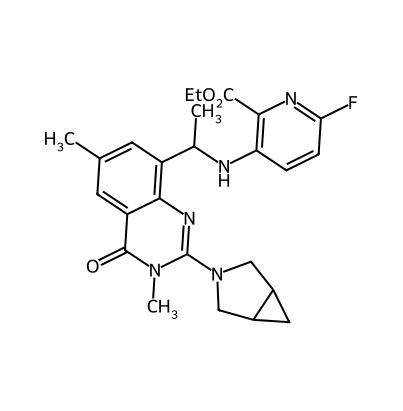 CCOC(=O)c1nc(F)ccc1NC(C)c1cc(C)cc2c(=O)n(C)c(N3CC4CC4C3)nc12